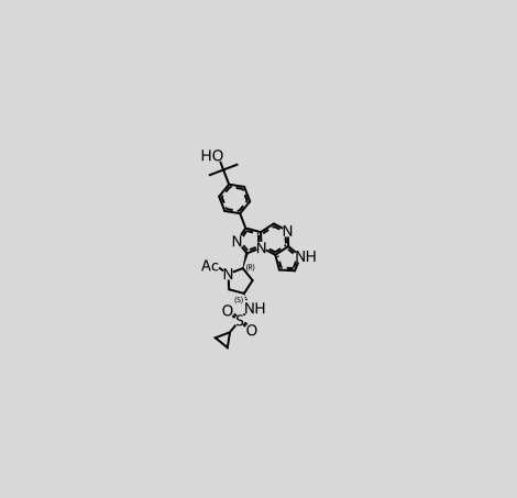 CC(=O)N1C[C@@H](NS(=O)(=O)C2CC2)C[C@@H]1c1nc(-c2ccc(C(C)(C)O)cc2)c2cnc3[nH]ccc3n12